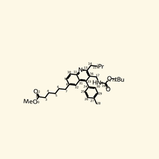 COC(=O)CCCCCc1ccc2nc(CC(C)C)c(CNC(=O)OC(C)(C)C)c(-c3ccc(C)cc3)c2c1